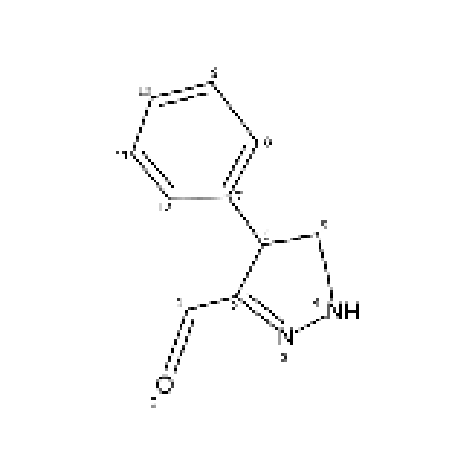 O=CC1=NNCC1c1ccccc1